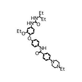 CCOc1cc(NC(=O)NC(CC)CC)ccc1Oc1ccc(NC(=O)c2ccc(N3CCN(CC)CC3)cc2)cc1